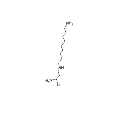 [Li][CH](N)CCNCCCCCCCCCN